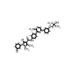 Cc1c(C(=O)Nc2ccc(-c3nc(-c4cccc(OCC(C)(C)O)c4)cnc3N)cc2)c(=O)n(-c2cccc(Cl)c2)n1C